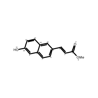 COC(=O)/C=C/c1ccc2cc(O)ccc2c1